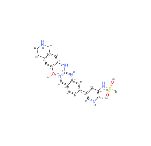 COc1cc2c(cc1Nc1ncc3ccc(-c4cncc(NS(C)(=O)=O)c4)cc3n1)CNCC2